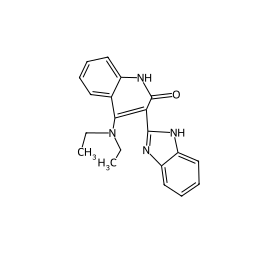 CCN(CC)c1c(-c2nc3ccccc3[nH]2)c(=O)[nH]c2ccccc12